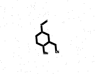 CCCCN1CCN(SI)CC1CC#N